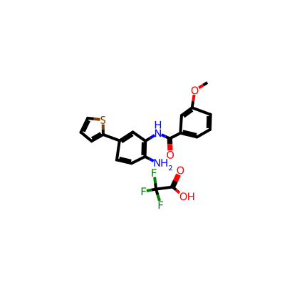 COc1cccc(C(=O)Nc2cc(-c3cccs3)ccc2N)c1.O=C(O)C(F)(F)F